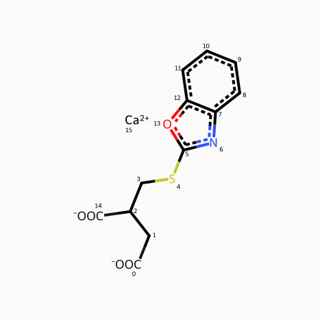 O=C([O-])CC(CSc1nc2ccccc2o1)C(=O)[O-].[Ca+2]